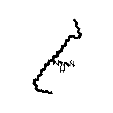 CCCCC/C=C\C/C=C\CCCCCCCCC(CCCCCCCC/C=C\C/C=C\CCCCC)=NCNCCN(C)C